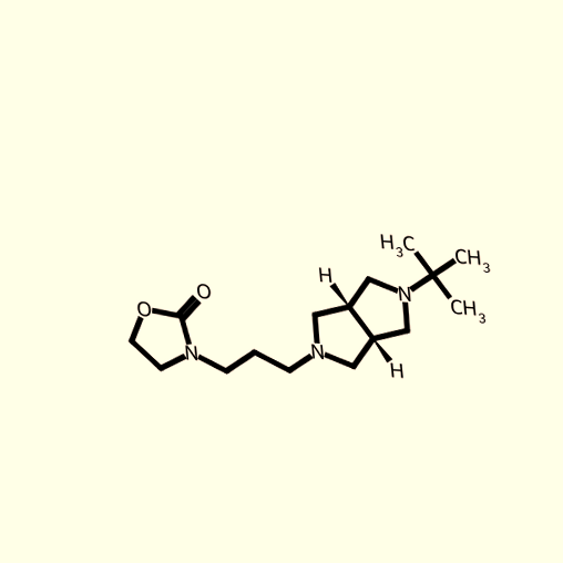 CC(C)(C)N1C[C@H]2CN(CCCN3CCOC3=O)C[C@H]2C1